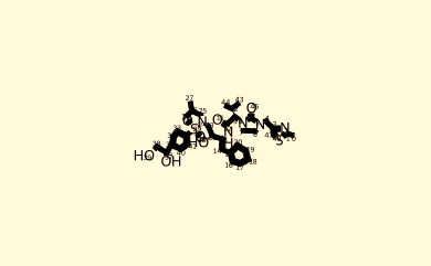 Cc1nc(CN2CCN([C@H](C(=O)NC(Cc3ccccc3)[C@H](O)CN(CC(C)C)S(=O)(=O)c3ccc(C(O)CO)cc3)C(C)C)C2=O)cs1